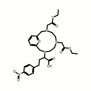 CCOC(=O)CN1CCN(CC(=O)OCC)Cc2cccc(n2)CN(C(CCc2ccc([N+](=O)[O-])cc2)C(=O)O)CC1